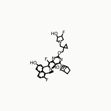 C#Cc1c(F)ccc2cc(O)cc(-c3ncc4c(N5CC6CCC(C5)N6C(=O)O)nc(OCC5(CN6CC(O)C(F)C6)CC5)nc4c3F)c12